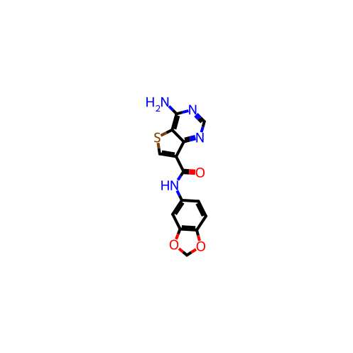 Nc1ncnc2c(C(=O)Nc3ccc4c(c3)OCO4)csc12